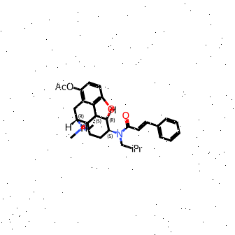 CC(=O)Oc1ccc2c3c1C[C@@H]1[C@@H]4CC[C@H](N(CC(C)C)C(=O)C=Cc5ccccc5)[C@H](O2)[C@]34CCN1C